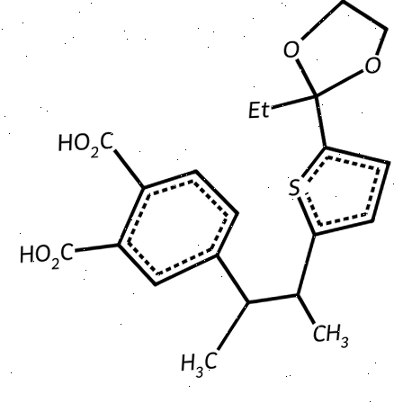 CCC1(c2ccc(C(C)C(C)c3ccc(C(=O)O)c(C(=O)O)c3)s2)OCCO1